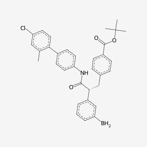 Bc1cccc([C@@H](Cc2ccc(C(=O)OC(C)(C)C)cc2)C(=O)Nc2ccc(-c3ccc(Cl)cc3C)cc2)c1